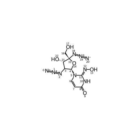 [N-]=[N+]=NC1[C@H](n2ccc(=O)[nH]/c2=N\O)O[C@@](CO)(N=[N+]=[N-])[C@H]1O